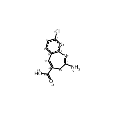 NC1=Nc2nc(Cl)ccc2C=C(C(=O)O)C1